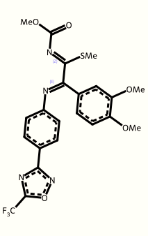 COC(=O)/N=C(SC)/C(=N/c1ccc(-c2noc(C(F)(F)F)n2)cc1)c1ccc(OC)c(OC)c1